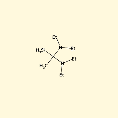 CCN(CC)C(C)([SiH3])N(CC)CC